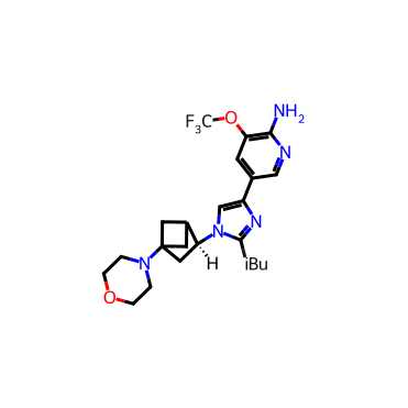 CCC(C)c1nc(-c2cnc(N)c(OC(F)(F)F)c2)cn1[C@H]1CC2(N3CCOCC3)CC1C2